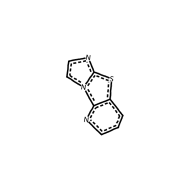 c1cnc2c(c1)sc1nccn12